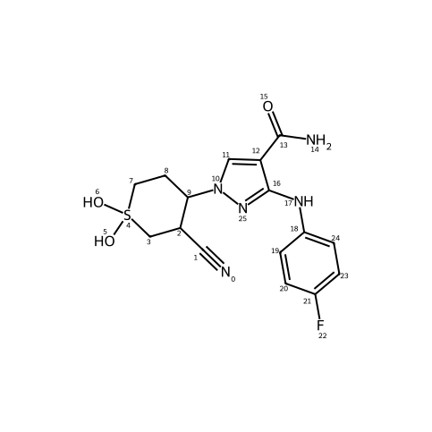 N#CC1CS(O)(O)CCC1n1cc(C(N)=O)c(Nc2ccc(F)cc2)n1